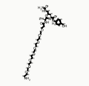 CC(C)[C@H](NC(=O)CCOCCOCCOCCOCCOCCOCCOCCOCCN)C(=O)N[C@@H](CCCNC(N)=O)C(=O)Nc1ccc(CO)cc1